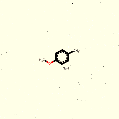 [CH2]c1ccc(OC)cc1.[NaH]